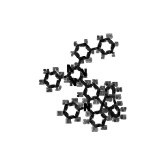 c1ccc(-c2cccc(-c3nc(-c4ccccc4)nc(-c4ccc5c(c4)N(c4ccccc4)c4ccccc4C54c5ccccc5-c5ccccc54)n3)c2)cc1